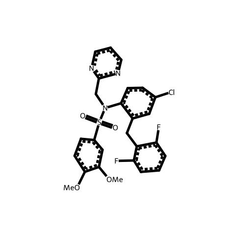 COc1ccc(S(=O)(=O)N(Cc2ncccn2)c2ccc(Cl)cc2Cc2c(F)cccc2F)cc1OC